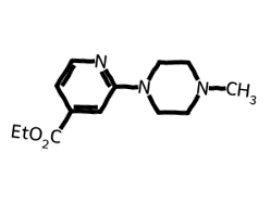 CCOC(=O)c1ccnc(N2CCN(C)CC2)c1